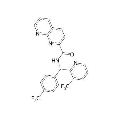 O=C(N[C@@H](c1ccc(C(F)(F)F)cc1)c1ncccc1C(F)(F)F)c1ccc2cccnc2n1